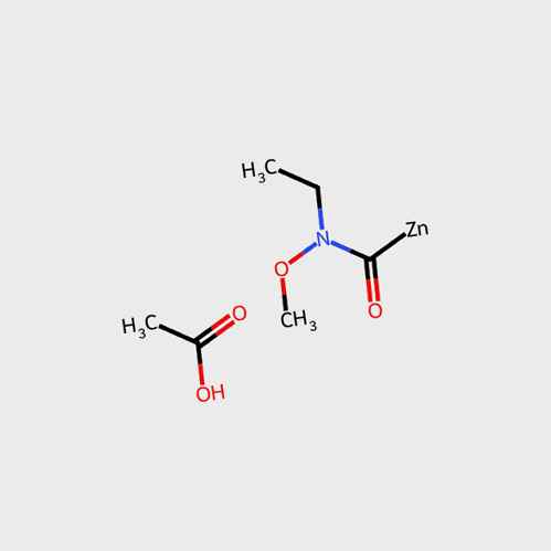 CC(=O)O.CCN(OC)[C](=O)[Zn]